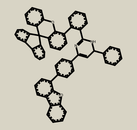 C1=C(c2ccc(-c3cccc4c3oc3ccccc34)cc2)N=C(c2ccccc2-c2cccc3c2Oc2ccccc2C32c3ccccc3-c3ccccc32)NC1c1ccccc1